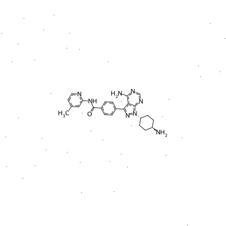 Cc1ccnc(NC(=O)c2ccc(-c3nn([C@H]4CC[C@H](N)CC4)c4ncnc(N)c34)cc2)c1